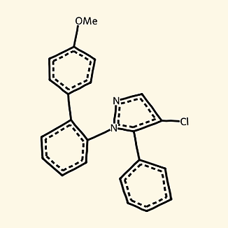 COc1ccc(-c2ccccc2-n2ncc(Cl)c2-c2ccccc2)cc1